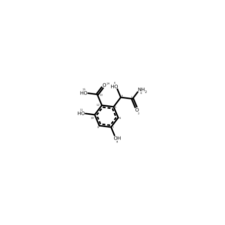 NC(=O)C(O)c1cc(O)cc(O)c1C(=O)O